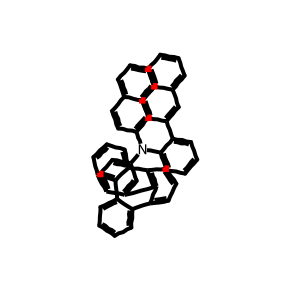 c1ccc2c(c1)-c1cccc3c1-c1cc(N(c4ccc5ccccc5c4)c4ccccc4-c4ccc5ccccc5c4)ccc1-c1cccc-3c1-2